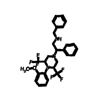 COc1ccccc1N1C(C(F)(F)F)CN(C(CNCc2ccccc2)c2ccccc2)CC1C(F)(F)F